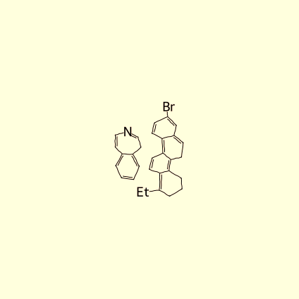 C1=Cc2ccccc2CC=N1.CCC1=c2ccc3c(c2CCC1)CC=c1cc(Br)ccc1=3